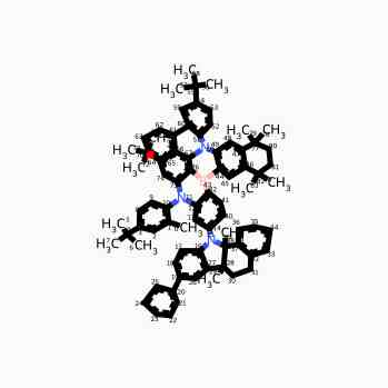 Cc1cc(C(C)(C)C)ccc1N1c2cc(N3c4ccc(-c5ccccc5)cc4C4(C)CCc5ccccc5C34C)ccc2B2c3cc4c(cc3N(c3ccc(C(C)(C)C)cc3-c3ccccc3)c3cc(C(C)(C)C)cc1c32)C(C)(C)CCC4(C)C